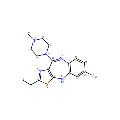 CCc1nc2c(s1)Nc1cc(F)ccc1N=C2N1CCN(C)CC1